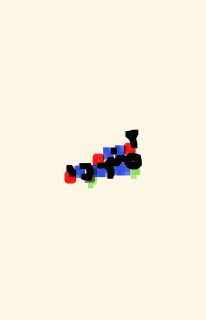 CC(=O)N1CC[C@H](NC(=O)c2c(C)[nH]c3c(-c4cc(F)ccc4OCC4CC4)ncnc23)[C@H](F)C1